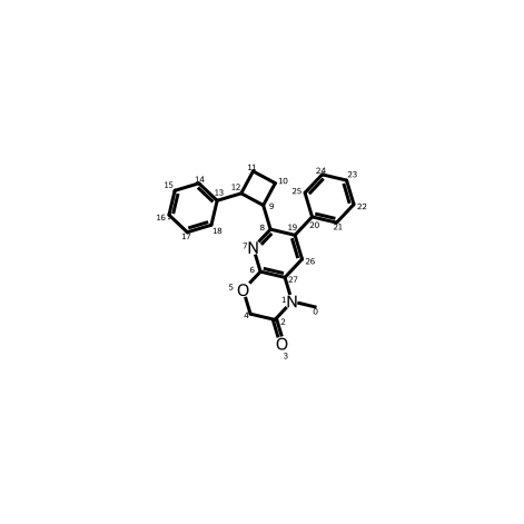 CN1C(=O)COc2nc(C3CCC3c3cc[c]cc3)c(-c3ccccc3)cc21